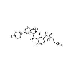 CCCS(=O)(=O)Nc1ccc(F)c(C(=O)c2c[nH]c3ncc(N4CCNCC4)cc23)c1F